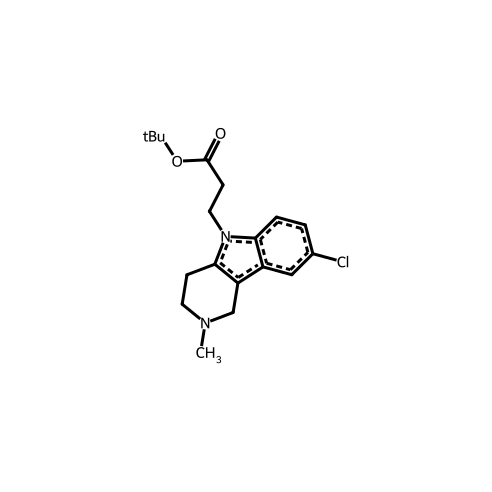 CN1CCc2c(c3cc(Cl)ccc3n2CCC(=O)OC(C)(C)C)C1